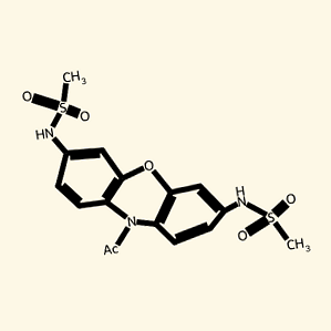 CC(=O)N1c2ccc(NS(C)(=O)=O)cc2Oc2cc(NS(C)(=O)=O)ccc21